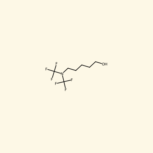 OCCCCCN(C(F)(F)F)C(F)(F)F